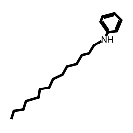 CCCCCCCCCCCCCCNc1ccccc1